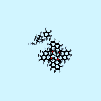 CCCCCCC(F)(F)C(F)(F)C(F)(F)[PH+](c1c(F)c(F)c(F)c(F)c1F)C(F)(F)C(F)(F)F.Fc1c(F)c2c(F)c(F)c3c(F)c(F)[c]([Al-]([c]4c(F)c(F)c5c(F)c(F)c6c(F)c(F)c(F)c7c(F)c(F)c4c5c67)([c]4c(F)c(F)c5c(F)c(F)c6c(F)c(F)c(F)c7c(F)c(F)c4c5c67)[c]4c(F)c(F)c5c(F)c(F)c6c(F)c(F)c(F)c7c(F)c(F)c4c5c67)c4c(F)c(F)c(c1F)c2c34